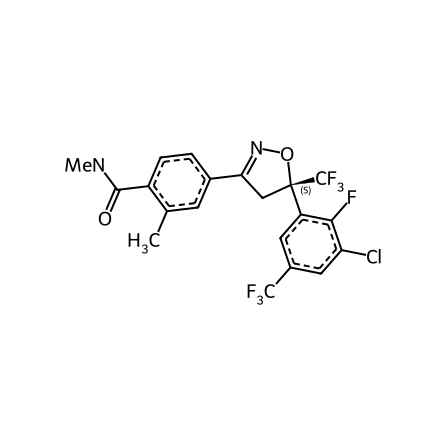 CNC(=O)c1ccc(C2=NO[C@@](c3cc(C(F)(F)F)cc(Cl)c3F)(C(F)(F)F)C2)cc1C